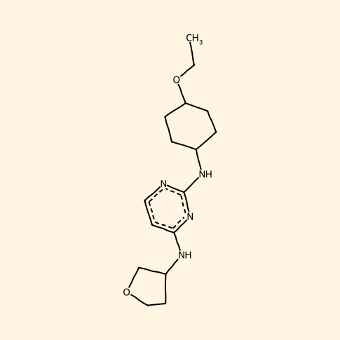 CCOC1CCC(Nc2nccc(NC3CCOC3)n2)CC1